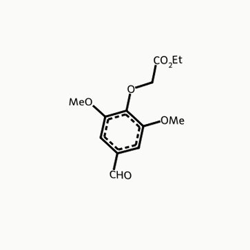 CCOC(=O)COc1c(OC)cc(C=O)cc1OC